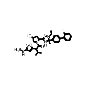 BBc1cc(C(C(=O)N2CC(O)CC2C2=NN(CC)C(C)(c3ccc(-c4ccccc4F)cc3)N2)C(C)C)on1